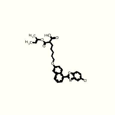 CCC(C)OC(=O)C(CCCCCOc1ccc2c(-c3nc4cc(Cl)ccc4o3)cccc2c1)C(=O)O